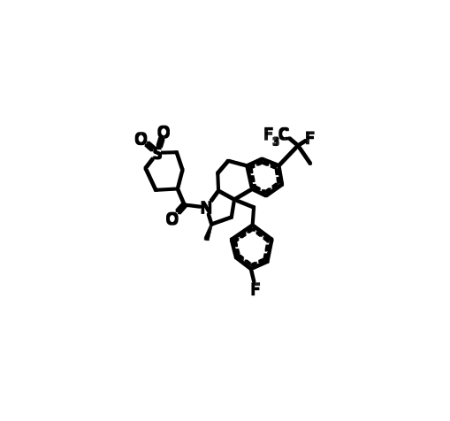 C[C@@H]1CC2(Cc3ccc(F)cc3)c3ccc(C(C)(F)C(F)(F)F)cc3CCC2N1C(=O)C1CCS(=O)(=O)CC1